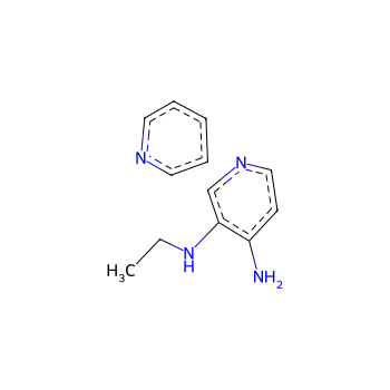 CCNc1cnccc1N.c1ccncc1